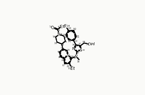 CCC(=O)N1CCC(c2ccc3cc(CC)c(N(C)c4nc(-c5ccc(F)cc5)c(CO)s4)n3c2)CC1